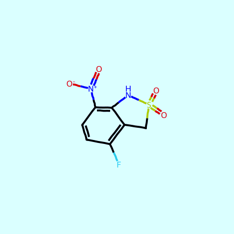 O=[N+]([O-])c1ccc(F)c2c1NS(=O)(=O)C2